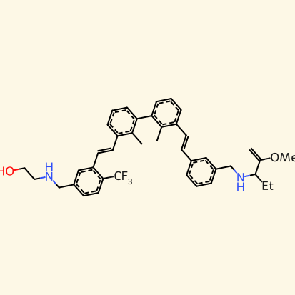 C=C(OC)C(CC)NCc1cccc(/C=C/c2cccc(-c3cccc(/C=C/c4cc(CNCCO)ccc4C(F)(F)F)c3C)c2C)c1